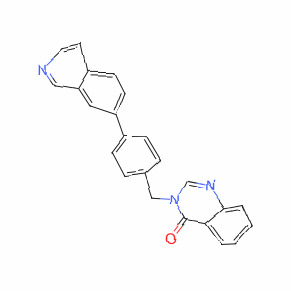 O=c1c2ccccc2ncn1Cc1ccc(-c2ccc3ccncc3c2)cc1